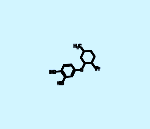 CC1CCC(C(C)C)C(Sc2ccc(O)c(O)c2)C1